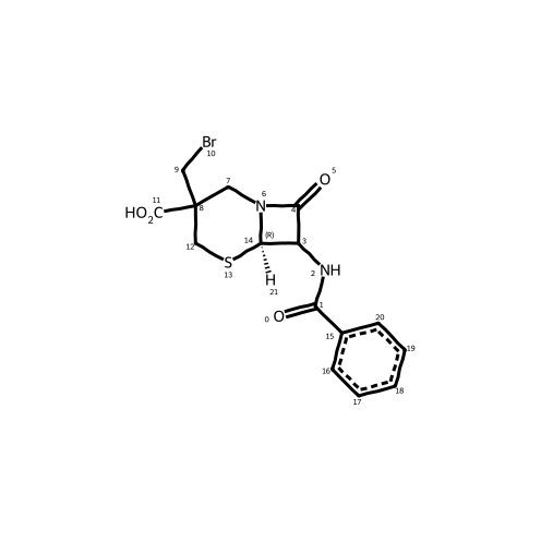 O=C(NC1C(=O)N2CC(CBr)(C(=O)O)CS[C@H]12)c1ccccc1